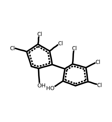 Oc1cc(Cl)c(Cl)c(Cl)c1-c1c(O)cc(Cl)c(Cl)c1Cl